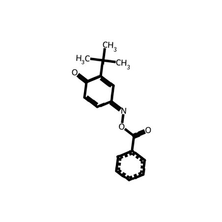 CC(C)(C)C1=CC(=NOC(=O)c2ccccc2)C=CC1=O